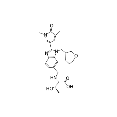 Cc1cc(-c2nc3ccc(CN[C@H](C(=O)O)[C@@H](C)O)cc3n2CC2CCCOC2)cn(C)c1=O